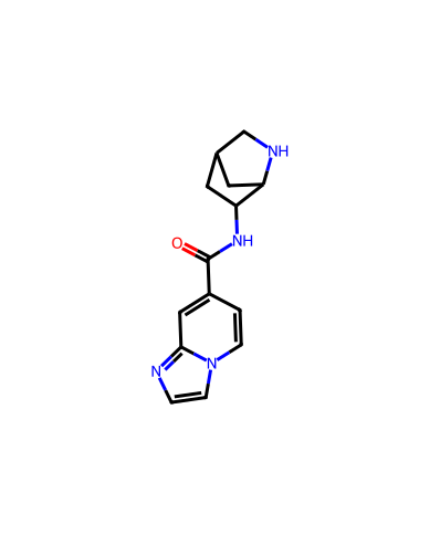 O=C(NC1CC2CNC1C2)c1ccn2ccnc2c1